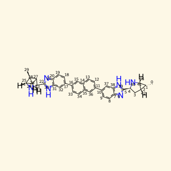 C[C@@H]1[C@@H]2C[C@@H](c3nc4ccc(-c5ccc6cc(-c7ccc8nc([C@H]9N[C@H]%10[C@H]%11C9[C@]%11%10C)[nH]c8c7)ccc6c5)cc4[nH]3)N[C@H]12